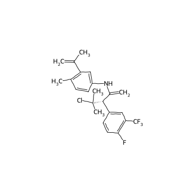 C=C(C)c1cc(NC(=C)[C@H](c2ccc(F)c(C(F)(F)F)c2)C(C)(C)Cl)ccc1C